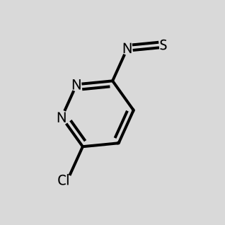 S=Nc1ccc(Cl)nn1